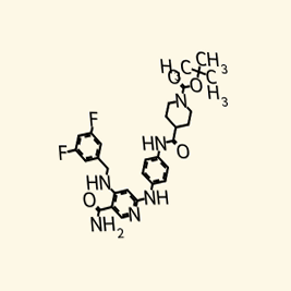 CC(C)(C)OC(=O)N1CCC(C(=O)Nc2ccc(Nc3cc(NCc4cc(F)cc(F)c4)c(C(N)=O)cn3)cc2)CC1